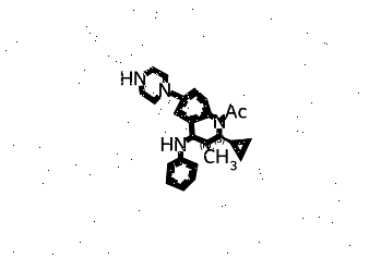 CC(=O)N1c2ccc(N3CCNCC3)cc2C(Nc2ccccc2)[C@@H](C)[C@@H]1C1CC1